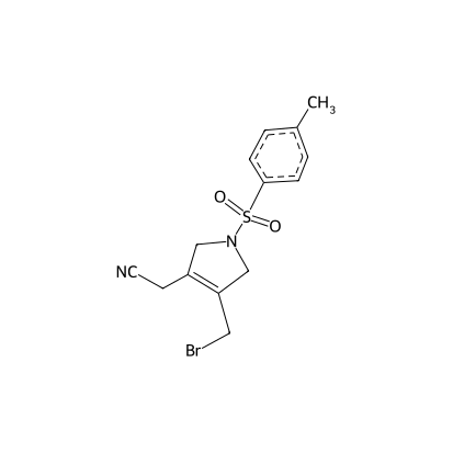 Cc1ccc(S(=O)(=O)N2CC(CBr)=C(CC#N)C2)cc1